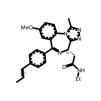 C/C=C/c1ccc(C2=N[C@@H](CC(=O)NCC)c3nnc(C)n3-c3ccc(OC)cc32)cc1